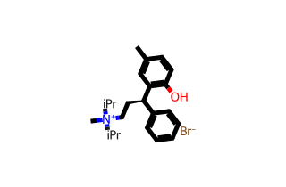 Cc1ccc(O)c([C@H](CC[N+](C)(C(C)C)C(C)C)c2ccccc2)c1.[Br-]